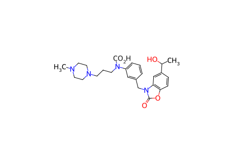 CC(O)c1ccc2oc(=O)n(Cc3cccc(N(CCCN4CCN(C)CC4)C(=O)O)c3)c2c1